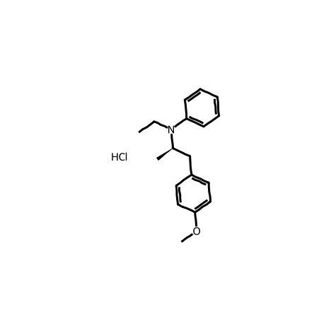 CCN(c1ccccc1)[C@H](C)Cc1ccc(OC)cc1.Cl